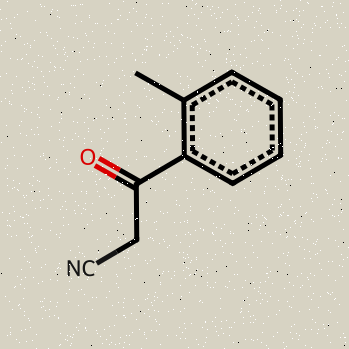 Cc1ccccc1C(=O)CC#N